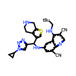 CC(C)(C)CNc1c(C#N)cnc2c(C#N)cc(NC(c3cn(C4CC4)nn3)c3csc4c3CCNC4)cc12